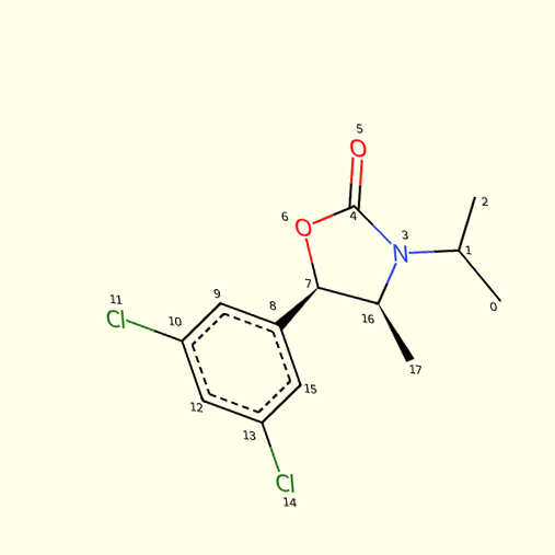 CC(C)N1C(=O)O[C@H](c2cc(Cl)cc(Cl)c2)[C@@H]1C